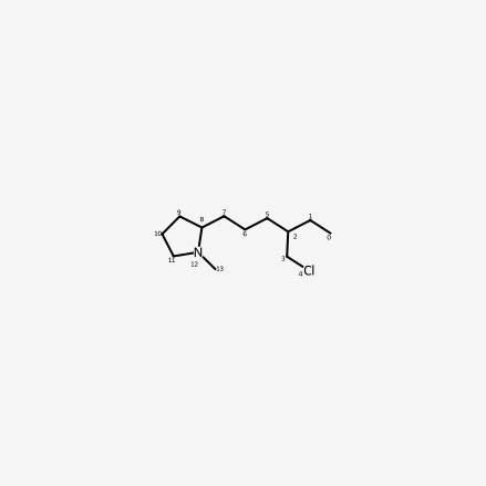 CCC(CCl)CCCC1CCCN1C